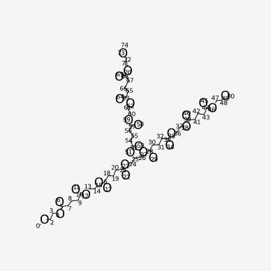 COCCOC(=O)CCCC(=O)OCCOC(=O)CCCC(=O)OCC(COC(=O)CCCC(=O)OCCOC(=O)CCCC(=O)OCCOC)OC(=O)CCCC(=O)OCCOC(=O)CCCC(=O)OCCOC